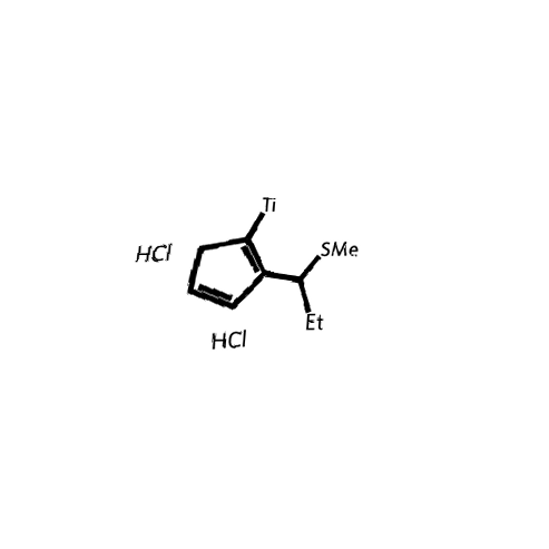 CCC(SC)C1=[C]([Ti])CC=C1.Cl.Cl